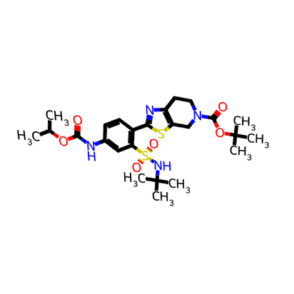 CC(C)OC(=O)Nc1ccc(-c2nc3c(s2)CN(C(=O)OC(C)(C)C)CC3)c(S(=O)(=O)NC(C)(C)C)c1